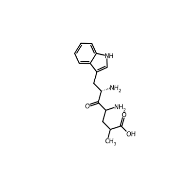 CC(CC(N)C(=O)[C@@H](N)Cc1c[nH]c2ccccc12)C(=O)O